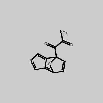 NC(=O)C(=O)C12C=CC(=C3C=NC=C31)O2